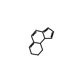 [C]1=CC2=CCCCC2C2C=CC=C12